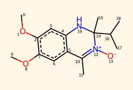 COc1cc2c(cc1OC)C(C)=[N+]([O-])C(C)(C(C)C)N2